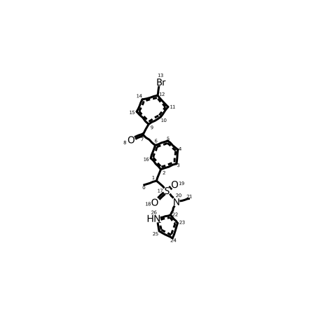 CC(c1cccc(C(=O)c2ccc(Br)cc2)c1)S(=O)(=O)N(C)c1ccc[nH]1